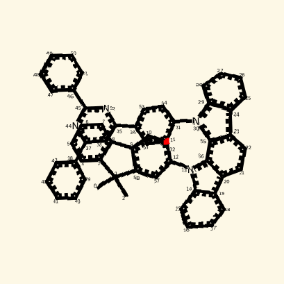 CC1(C)c2ccccc2-c2ccc(-n3c4ccccc4c4ccc5c6ccccc6n(-c6ccc(-c7cc(-c8ccccc8)nc(-c8ccccc8)n7)cc6)c5c43)cc21